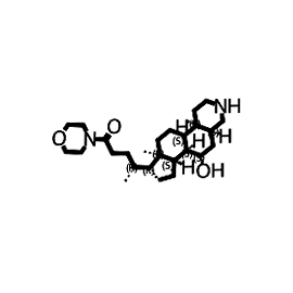 C[C@H](CCC(=O)N1CCOCC1)[C@H]1CC[C@H]2[C@@H]3[C@@H](O)C[C@@H]4CNCC[C@]4(C)[C@H]3CC[C@]12C